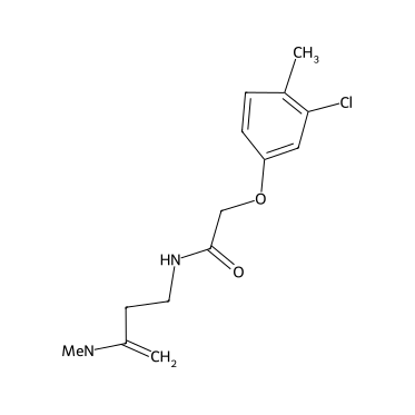 C=C(CCNC(=O)COc1ccc(C)c(Cl)c1)NC